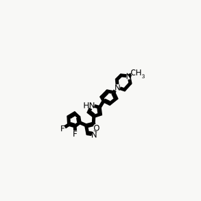 CN1CCN(c2ccc(-c3cc(-c4oncc4-c4cccc(F)c4F)c[nH]3)cc2)CC1